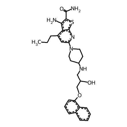 CCCc1cc(N2CCC(NCC(O)COc3cccc4ccccc34)CC2)nc2sc(C(N)=O)c(N)c12